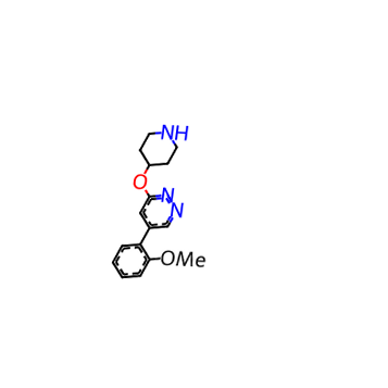 COc1ccccc1-c1cnnc(OC2CCNCC2)c1